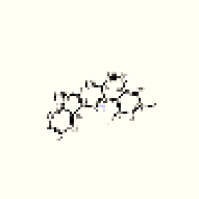 Cc1cc(C)c(/C(=C/c2c[nH]c3ncccc23)C(N)=O)c(C)c1